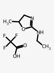 CCNC1=NCC(C)O1.O=C(O)C(F)(F)F